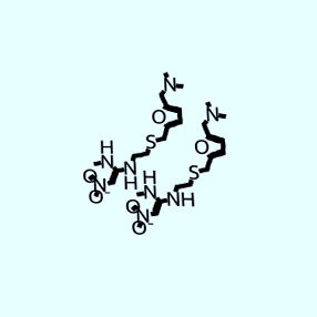 CNC(=C[N+](=O)[O-])NCCSCc1ccc(CN(C)C)o1.CNC(=C[N+](=O)[O-])NCCSCc1ccc(CN(C)C)o1